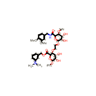 COc1ccc(CNC(=O)C2O[C@@H](OCCO[C@@H]3C(C(=O)OCc4cccc(N(C)C)c4)O[C@@H](OC(C)C)[C@@H](O)[C@H]3O)[C@@H](O)[C@@H](O)[C@@H]2OC(C)C)cc1OC